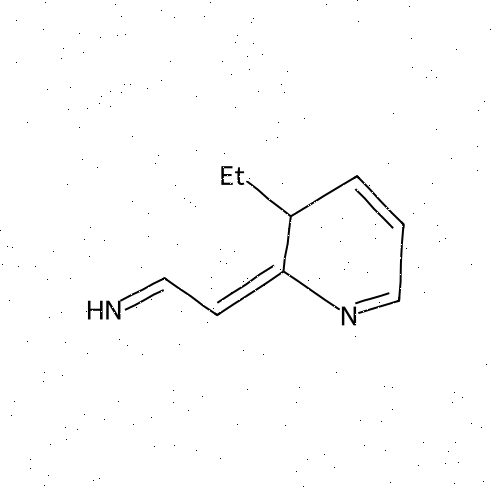 CCC1C=CC=N/C1=C/C=N